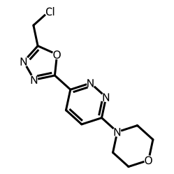 ClCc1nnc(-c2ccc(N3CCOCC3)nn2)o1